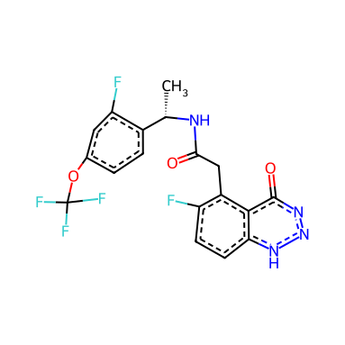 C[C@H](NC(=O)Cc1c(F)ccc2[nH]nnc(=O)c12)c1ccc(OC(F)(F)F)cc1F